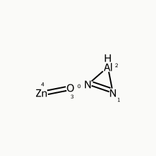 [N]1=[N][AlH]1.[O]=[Zn]